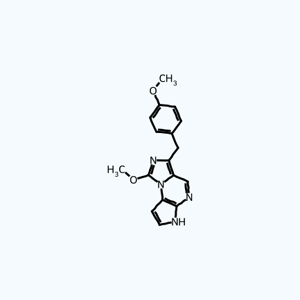 COc1ccc(Cc2nc(OC)n3c2cnc2[nH]ccc23)cc1